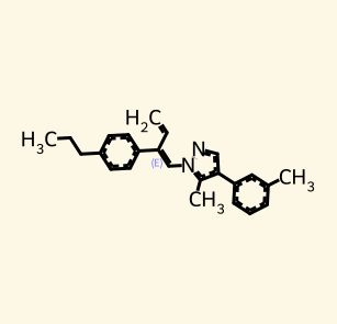 C=C/C(=C\n1ncc(-c2cccc(C)c2)c1C)c1ccc(CCC)cc1